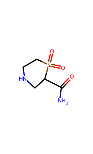 NC(=O)C1CNCCS1(=O)=O